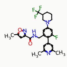 Cc1cc(-c2c(F)cc(N3CCCC(C(F)(F)F)C3)cc2CNC(=O)c2cc(C)on2)cc(C)n1